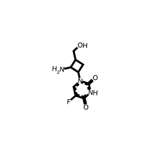 NC1C(CO)CC1n1cc(F)c(=O)[nH]c1=O